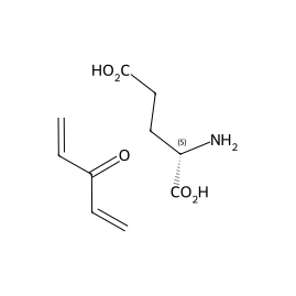 C=CC(=O)C=C.N[C@@H](CCC(=O)O)C(=O)O